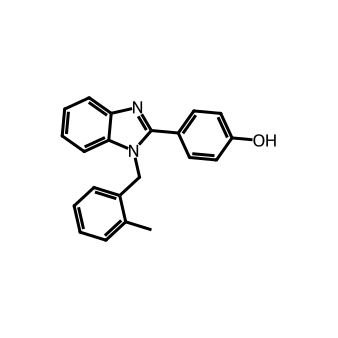 Cc1ccccc1Cn1c(-c2ccc(O)cc2)nc2ccccc21